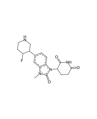 Cn1c(=O)n(C2CCC(=O)NC2=O)c2ccc(C3CNCCC3F)cc21